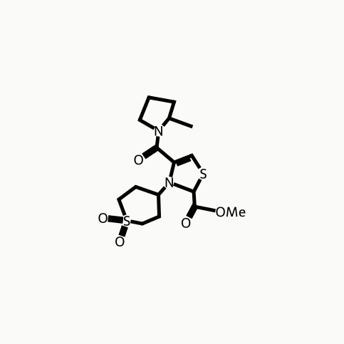 COC(=O)C1SC=C(C(=O)N2CCCC2C)N1C1CCS(=O)(=O)CC1